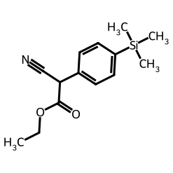 CCOC(=O)C(C#N)c1ccc([Si](C)(C)C)cc1